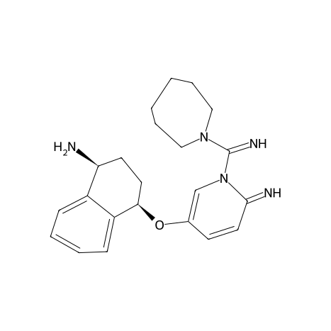 N=C(N1CCCCCC1)n1cc(O[C@@H]2CC[C@H](N)c3ccccc32)ccc1=N